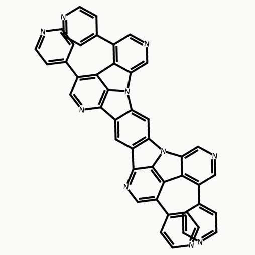 c1cc(-c2cncc3c2c2c(-c4ccncc4)cnc4c5cc6c7ncc(-c8ccncc8)c8c9c(-c%10ccncc%10)cncc9n(c6cc5n3c42)c78)ccn1